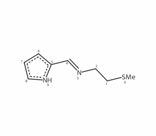 CSCCN=Cc1ccc[nH]1